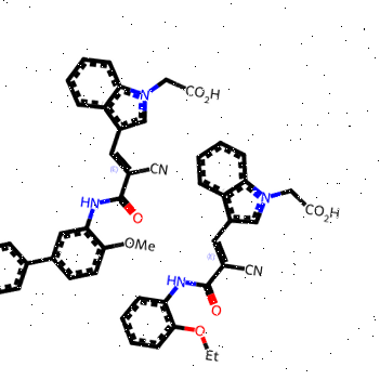 CCOc1ccccc1NC(=O)/C(C#N)=C/c1cn(CC(=O)O)c2ccccc12.COc1ccc(-c2ccccc2)cc1NC(=O)/C(C#N)=C/c1cn(CC(=O)O)c2ccccc12